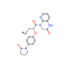 CCC(Oc1ccc(N2CCCC2=O)cc1)C(=O)N1CC(=O)Nc2cccnc21